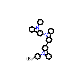 CC(C)(C)c1ccc(-n2c3ccccc3c3cc(-c4ccc5c6ccccc6n(-c6ccc7c8ccccc8n(-c8ccccc8)c7c6)c5c4)ccc32)cc1